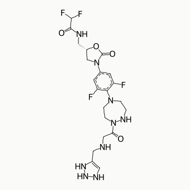 O=C(NC[C@H]1CN(c2cc(F)c(N3CCNN(C(=O)CNCC4=CNNN4)CC3)c(F)c2)C(=O)O1)C(F)F